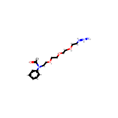 CCC(=O)N(CCOCCOCCOCCN=[N+]=[N-])c1ccccc1